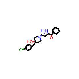 NC(CCN1CCC(O)(Cc2ccc(Cl)cc2)CC1)C(=O)c1ccccc1